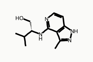 Cc1n[nH]c2ccnc(N[C@@H](CO)C(C)C)c12